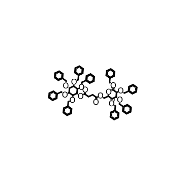 O=C(CCC(=O)O[C@H]1C(OCc2ccccc2)C(OCc2ccccc2)[C@H](OCc2ccccc2)C(OCc2ccccc2)C1OCc1ccccc1)OCC1O[C@@H](OCc2ccccc2)C(OCc2ccccc2)C(OCc2ccccc2)[C@@H]1OCc1ccccc1